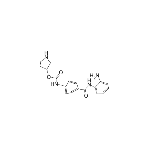 Nc1ccccc1NC(=O)c1ccc(NC(=O)OC2CCNC2)cc1